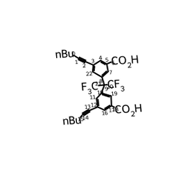 CCCCC#Cc1cc(C(=O)O)cc(C(c2cc(C#CCCCC)cc(C(=O)O)c2)(C(F)(F)F)C(F)(F)F)c1